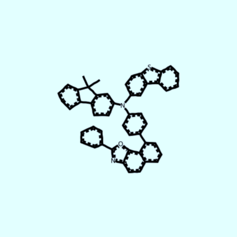 CC1(C)c2ccccc2-c2ccc(N(c3ccc(-c4cccc5ccc6nc(-c7ccccc7)oc6c45)cc3)c3ccc4sc5ccccc5c4c3)cc21